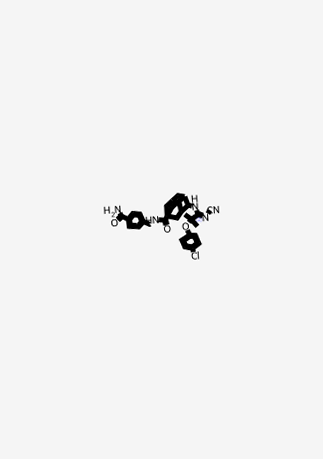 CC(C)(Oc1ccc(Cl)cc1)/C(=N/C#N)NC1C2CC3CC1CC(C(=O)NCc1ccc(C(N)=O)cc1)(C3)C2